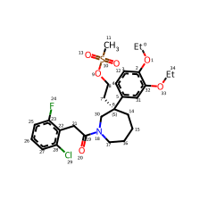 CCOc1ccc([C@@]2(CCOS(C)(=O)=O)CCCCN(C(=O)Cc3c(F)cccc3Cl)C2)cc1OCC